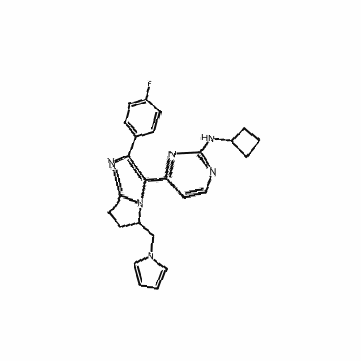 Fc1ccc(-c2nc3n(c2-c2ccnc(NC4CCC4)n2)C(Cn2cccc2)CC3)cc1